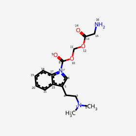 CN(C)CCc1cn(C(=O)OCOC(=O)CN)c2ccccc12